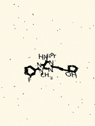 CCCNc1nc(C#CC2(O)CCCC2)nc2c1nc(-c1cccc(F)c1)n2C